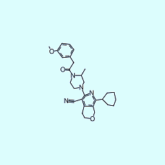 COc1cccc(CC(=O)N2CCN(c3nc(C4CCCCC4)c4c(c3C#N)CCOC4)CC2C)c1